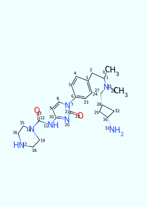 CC(Cc1ccc(-n2ccc(NC(=O)N3CCNCC3)nc2=O)cc1)N(C)C[C@H]1C[C@@H](N)C1